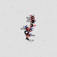 CCN(C(C)=O)[C@H]1CO[C@@H](O[C@H]2[C@H](O[C@H]3C#C/C=C/C#C[C@]4(O)CC(=O)C(NC(=O)OC)=C3/C4=C/CSSC(C)(C)CCC(=O)O)O[C@H](C)[C@@H](NO[C@H]3C[C@H](O)[C@H](SC(=O)c4c(C)c(I)c(O[C@@H]5O[C@@H](C)[C@H](O)[C@@H](OC)[C@H]5O)c(OC)c4OC)[C@@H](C)O3)[C@H]2O)C[C@@H]1OC